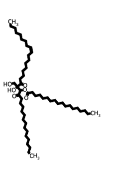 CCCCCCCC/C=C\CCCCCCCC(=O)C(O)(CO)C(OC(=O)CCCCCCCCCCCCCCCCC)C(=O)CCCCCCCCCCCCCCC